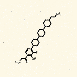 CCCC1CCC(C2CCC(C3CCC(c4ccc(C(=O)CC)c(O)c4F)CC3)CC2)CC1